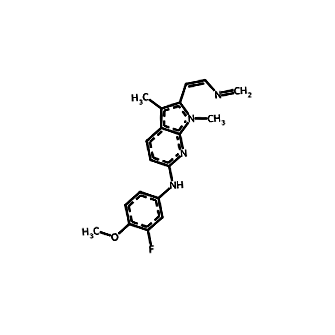 C=N/C=C\c1c(C)c2ccc(Nc3ccc(OC)c(F)c3)nc2n1C